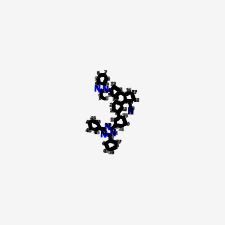 CCc1nc2ccccc2n1-c1ccc(-c2cccc(C#N)c2-c2cccc(-c3cccc(-c4nc(-c5ccccc5)nc(-c5ccccc5)n4)c3)c2)cc1